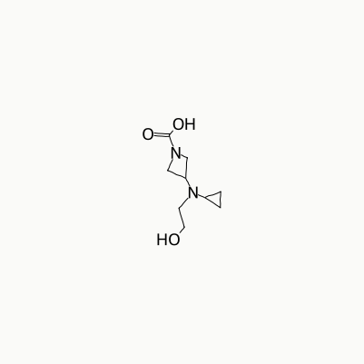 O=C(O)N1CC(N(CCO)C2CC2)C1